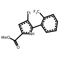 CCc1cc(C(=O)OC)[nH]c1-c1ccccc1C(F)(F)F